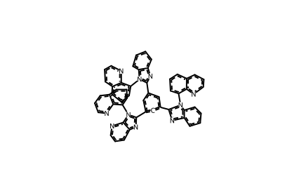 c1cnc2c(-n3c(-c4cc(-c5nc6ccccc6n5-c5cccc6cccnc56)cc(-c5nc6cccnc6n5-c5cccc6cccnc56)c4)nc4ccccc43)cccc2c1